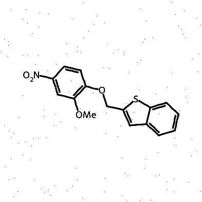 COc1cc([N+](=O)[O-])ccc1OCc1cc2ccccc2s1